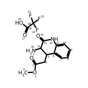 COC(=O)CC1c2ccccc2NC(=O)C1N.O=C(O)C(F)(F)F